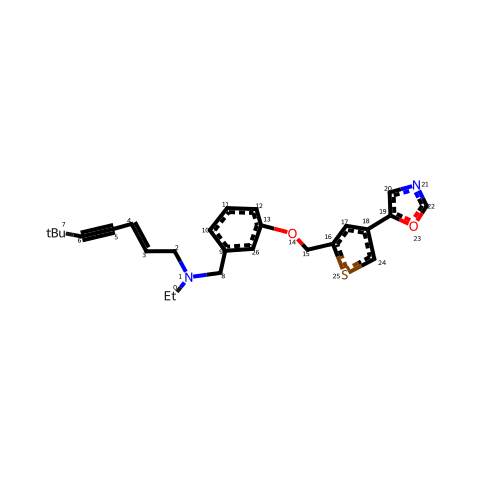 CCN(CC=CC#CC(C)(C)C)Cc1cccc(OCc2cc(-c3cnco3)cs2)c1